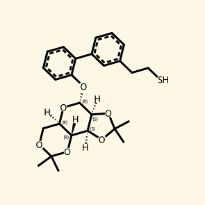 CC1(C)O[C@@H]2[C@H](O1)[C@@H](Oc1ccccc1-c1cccc(CCS)c1)O[C@@H]1COC(C)(C)O[C@@H]21